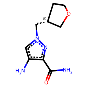 NC(=O)c1nn(C[C@@H]2CCOC2)cc1N